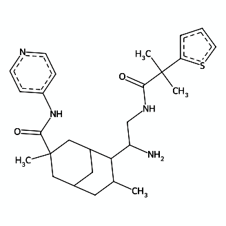 CC1CC2CC(CC(C)(C(=O)Nc3ccncc3)C2)C1C(N)CNC(=O)C(C)(C)c1cccs1